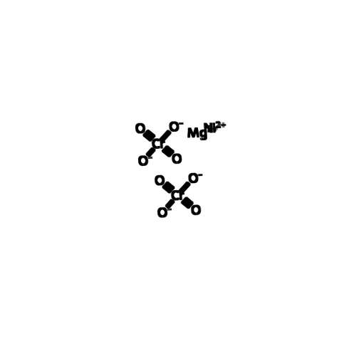 [Mg+2].[Ni+2].[O]=[Cr](=[O])([O-])[O-].[O]=[Cr](=[O])([O-])[O-]